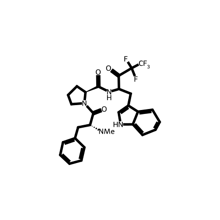 CN[C@H](Cc1ccccc1)C(=O)N1CCC[C@H]1C(=O)NC(Cc1c[nH]c2ccccc12)C(=O)C(F)(F)C(F)(F)F